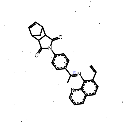 C=Cc1ccc2cccnc2c1/N=C(\C)c1ccc(N2C(=O)C3C4C=CC(C4)C3C2=O)cc1